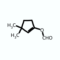 CC1(C)C=C(OC=O)CC1